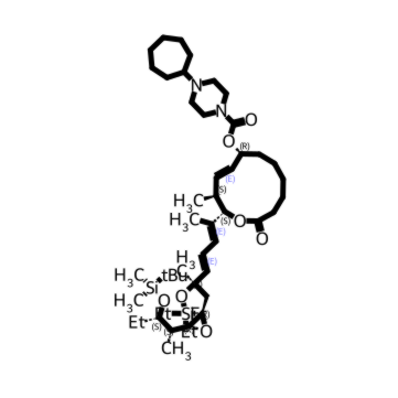 CC[C@H](O[Si](C)(C)C(C)(C)C)[C@@H](C)[C@H]1O[C@@H]1C[C@](C)(/C=C/C=C(\C)[C@H]1OC(=O)CCCCC[C@@H](OC(=O)N2CCN(C3CCCCCC3)CC2)/C=C/[C@@H]1C)O[Si](CC)(CC)CC